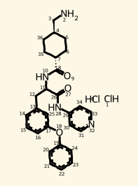 Cl.Cl.NC[C@H]1CC[C@H](C(=O)NC(Cc2cccc(Oc3ccccc3)c2)C(=O)Nc2ccncc2)CC1